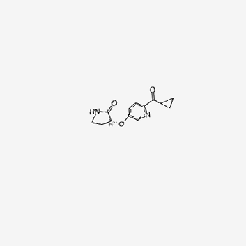 O=C(c1ccc(O[C@@H]2CCNC2=O)cn1)C1CC1